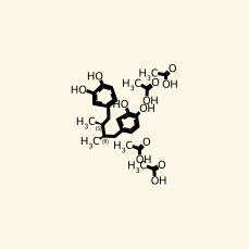 CC(=O)O.CC(=O)O.CC(=O)O.CC(=O)O.C[C@H](Cc1ccc(O)c(O)c1)[C@@H](C)Cc1ccc(O)c(O)c1